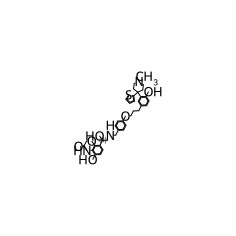 CN1CCC(c2cccs2)(c2cc(CCCOc3ccc(CNC[C@H](O)c4ccc(O)c5c4OCC(=O)N5)cc3)ccc2O)CC1